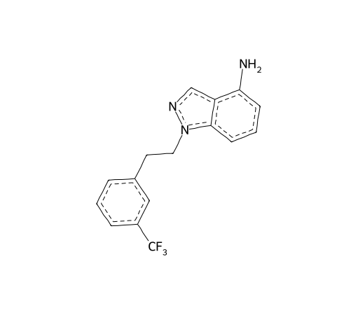 Nc1cccc2c1cnn2CCc1cccc(C(F)(F)F)c1